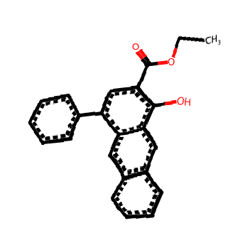 CCOC(=O)c1cc(-c2ccccc2)c2cc3ccccc3cc2c1O